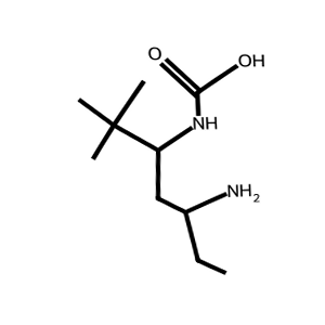 CCC(N)CC(NC(=O)O)C(C)(C)C